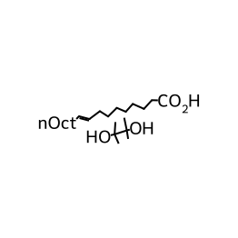 CC(C)(O)C(C)(C)O.CCCCCCCCC=CCCCCCCCC(=O)O